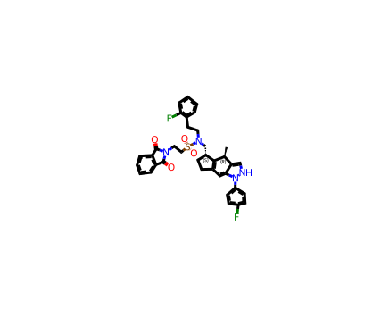 C[C@H]1C2=CNN(c3ccc(F)cc3)C2=CC2=C1[C@@H](CN(CCc1ccccc1F)S(=O)(=O)CCN1C(=O)c3ccccc3C1=O)CC2